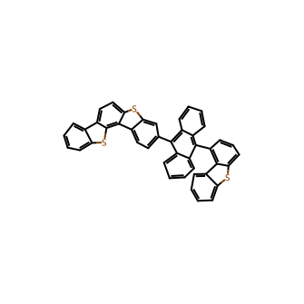 c1ccc2c(c1)sc1c2ccc2sc3cc(-c4c5ccccc5c(-c5cccc6sc7ccccc7c56)c5ccccc45)ccc3c21